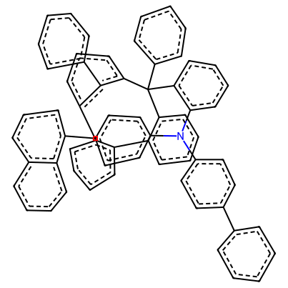 c1ccc(-c2ccc(N(c3ccc(-c4cccc5ccccc45)cc3)c3ccccc3C3(c4ccccc4)c4ccccc4-c4ccccc4-c4cccc3c4-c3ccccc3)cc2)cc1